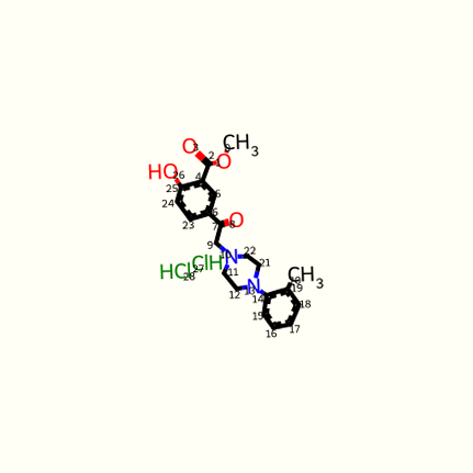 COC(=O)c1cc(C(=O)CN2CCN(c3ccccc3C)CC2)ccc1O.Cl.Cl